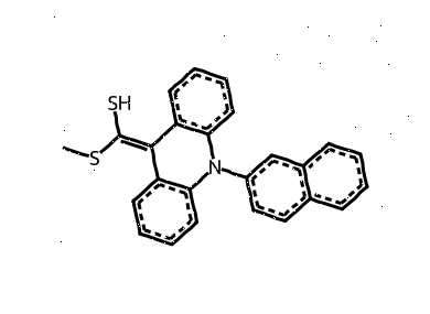 CSC(S)=C1c2ccccc2N(c2ccc3ccccc3c2)c2ccccc21